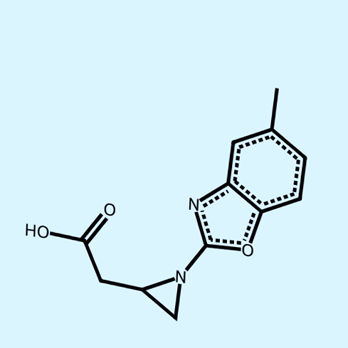 Cc1ccc2oc(N3CC3CC(=O)O)nc2c1